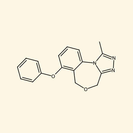 Cc1nnc2n1-c1cccc(Oc3ccccc3)c1COC2